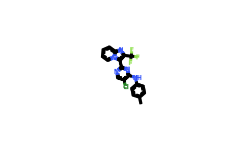 Cc1ccc(Nc2nc(-c3c(C(F)(F)F)nc4ccccn34)ncc2Cl)cc1